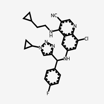 N#Cc1cnc2c(Cl)cc(NC(c3ccc(F)cc3)c3cn(C4CC4)nn3)cc2c1NCCC1CC1